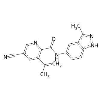 C=C(C)c1cc(C#N)cnc1C(=O)Nc1ccc2[nH]nc(C)c2c1